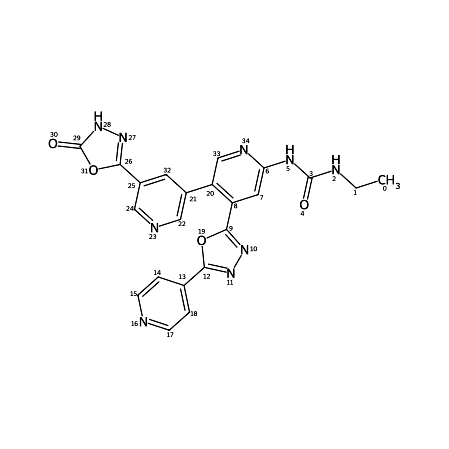 CCNC(=O)Nc1cc(-c2nnc(-c3ccncc3)o2)c(-c2cncc(-c3n[nH]c(=O)o3)c2)cn1